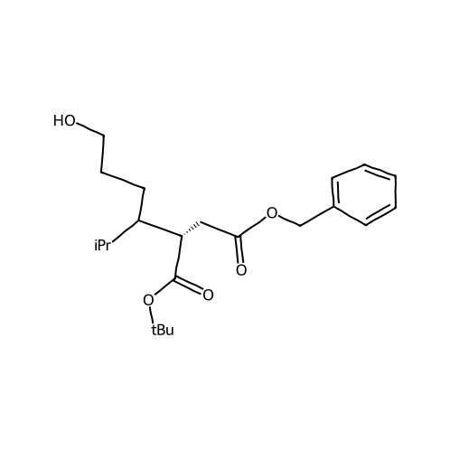 CC(C)C(CCCO)[C@H](CC(=O)OCc1ccccc1)C(=O)OC(C)(C)C